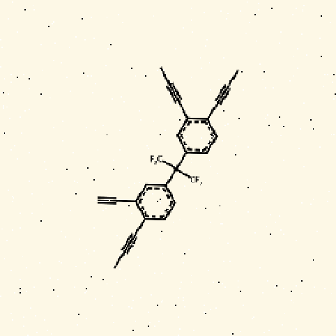 C#Cc1cc(C(c2ccc(C#CC)c(C#CC)c2)(C(F)(F)F)C(F)(F)F)ccc1C#CC